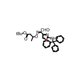 CC(CC(=O)OC(C)(C)C)O/N=C(/[C]=O)c1csc(NC(c2ccccc2)(c2ccccc2)c2ccccc2)n1